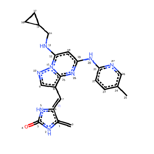 C=c1[nH]c(=O)[nH]/c1=C\c1cnn2c(NCC3CC3)cc(Nc3ccc(C)cn3)nc12